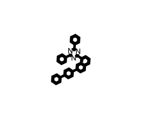 c1ccc(-c2ccc(-c3ccc4cccc(-c5nc(-c6ccccc6)nc(-c6ccccc6)n5)c4c3)cc2)cc1